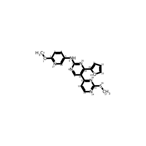 COc1ccc(Nc2ncc(-c3ccnc(SC)n3)c(-c3ccco3)n2)cn1